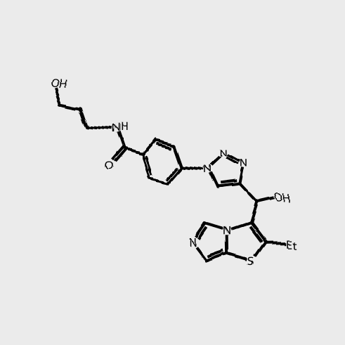 CCc1sc2cncn2c1C(O)c1cn(-c2ccc(C(=O)NCCCO)cc2)nn1